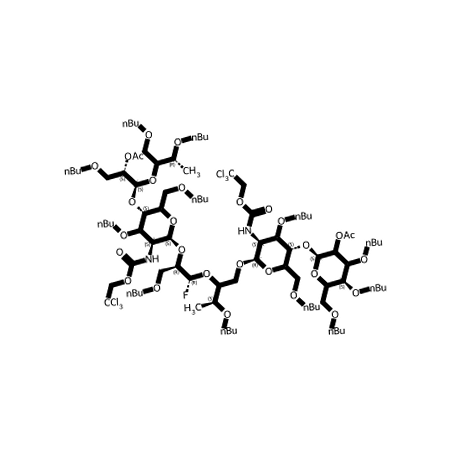 CCCCOCC1O[C@@H](OCC(O[C@H](F)[C@@H](COCCCC)O[C@@H]2OC(COCCCC)[C@@H](O[C@H](OC(COCCCC)[C@@H](C)OCCCC)[C@H](COCCCC)OC(C)=O)C(OCCCC)[C@@H]2NC(=O)OCC(Cl)(Cl)Cl)[C@H](C)OCCCC)[C@@H](NC(=O)OCC(Cl)(Cl)Cl)C(OCCCC)[C@@H]1O[C@@H]1OC(COCCCC)[C@H](OCCCC)C(OCCCC)C1OC(C)=O